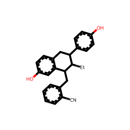 CCC1C(c2ccc(O)cc2)Cc2ccc(O)cc2C1Cc1ccccc1C#N